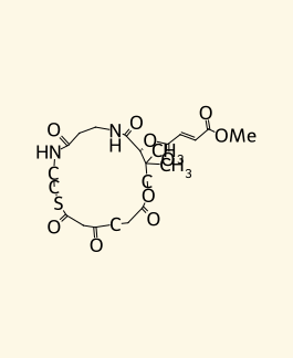 COC(=O)/C=C/C(=O)O[C@H]1C(=O)NCCC(=O)NCCSC(=O)CC(=O)CCC(=O)OCC1(C)C